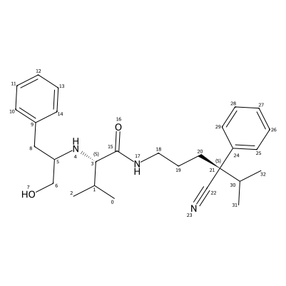 CC(C)[C@H](NC(CO)Cc1ccccc1)C(=O)NCCC[C@@](C#N)(c1ccccc1)C(C)C